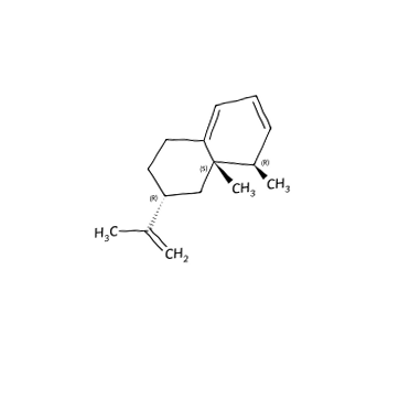 C=C(C)[C@@H]1CCC2=CC=C[C@@H](C)[C@]2(C)C1